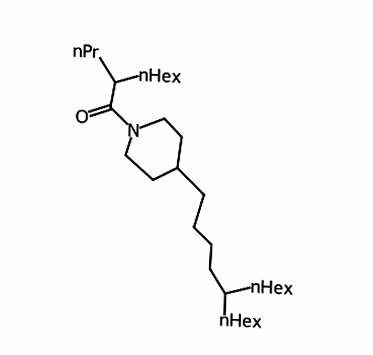 CCCCCCC(CCCCCC)CCCCC1CCN(C(=O)C(CCC)CCCCCC)CC1